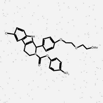 COCCOCCOc1ccc(C2c3[nH]c4ccc(Cl)cc4c3CCN2C(=O)Oc2ccc([N+](=O)[O-])cc2)cc1